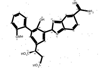 COc1ccccc1-c1cc([C@@H](CC(=O)O)C(=O)O)cc(C2N=c3ccc(C(=N)N)cc3=N2)c1O